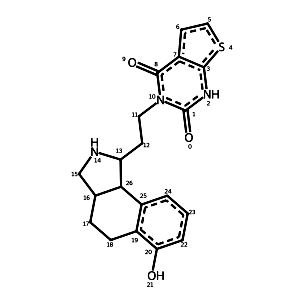 O=c1[nH]c2sccc2c(=O)n1CCC1NCC2CCc3c(O)cccc3C21